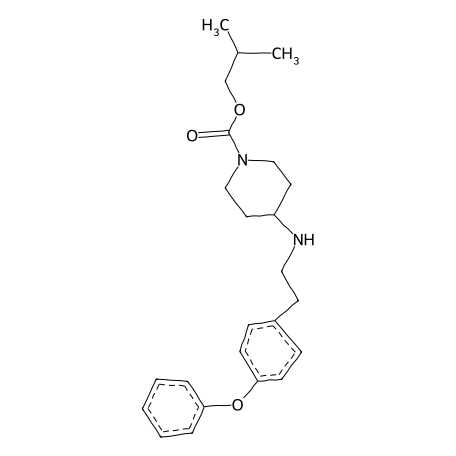 CC(C)COC(=O)N1CCC(NCCc2ccc(Oc3ccccc3)cc2)CC1